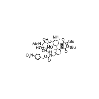 CN[C@@H]1[C@@H](O)[C@@H](O[C@@H]2[C@@H](O)[C@H](C3OC(CNC(=O)OCc4ccc([N+](=O)[O-])cc4)=CC[C@H]3NC(=O)OC(C)(C)C)[C@@H](NC(=O)OC(C)(C)C)C[C@H]2N)OC[C@]1(C)O